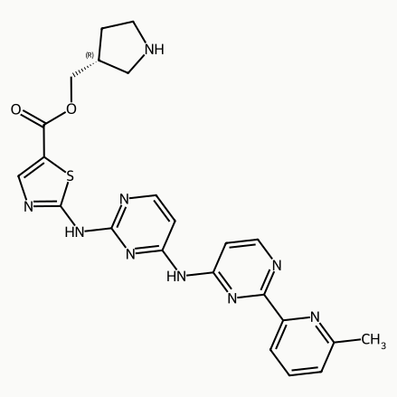 Cc1cccc(-c2nccc(Nc3ccnc(Nc4ncc(C(=O)OC[C@@H]5CCNC5)s4)n3)n2)n1